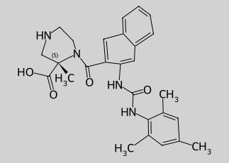 Cc1cc(C)c(NC(=O)Nc2cc3ccccc3cc2C(=O)N2CCNC[C@@]2(C)C(=O)O)c(C)c1